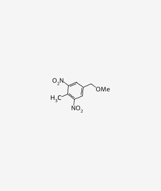 COCc1cc([N+](=O)[O-])c(C)c([N+](=O)[O-])c1